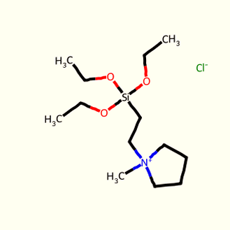 CCO[Si](CC[N+]1(C)CCCC1)(OCC)OCC.[Cl-]